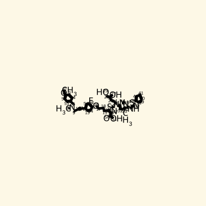 COc1ccc(CN(C)CC#Cc2ccc(OCCCc3sc(N(CCC(O)CO)c4cc(C)c(Nc5nc6ccccc6s5)nn4)nc3C(=O)O)c(F)c2)cc1